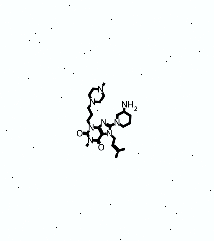 CC(C)=CCn1c(N2CCCC(N)C2)nc2c1c(=O)n(C)c(=O)n2CCCN1CCN(C)CC1